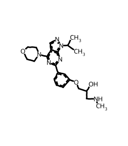 CNCC(O)COc1cccc(-c2nc(N3CCOCC3)c3cnn(C(C)C)c3n2)c1